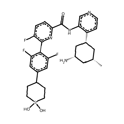 C[C@@H]1C[C@H](N)C[C@H](c2ccncc2NC(=O)c2ccc(F)c(-c3c(F)cc(C4CCS(O)(O)CC4)cc3F)n2)C1